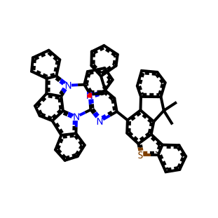 CC1(C)c2ccccc2-c2c(-c3cc(-c4ccccc4)nc(-n4c5ccccc5c5ccc6c7ccccc7n(-c7ccccc7)c6c54)n3)cc3sc4ccccc4c3c21